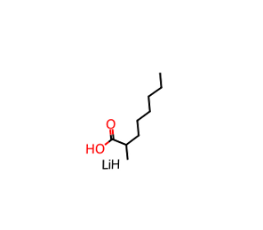 CCCCCCC(C)C(=O)O.[LiH]